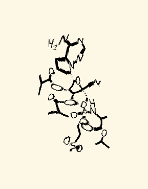 CC(C)OC(=O)C(C)NP(=O)(OCCS(C)(=O)=O)OC[C@@]1(C#N)O[C@@H](c2ccc3c(N)ncnn23)[C@H](OC(=O)C(C)C)[C@@H]1OC(=O)C(C)C